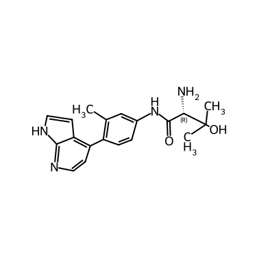 Cc1cc(NC(=O)[C@H](N)C(C)(C)O)ccc1-c1ccnc2[nH]ccc12